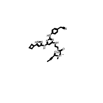 CC#CC(=O)N(C)[C@@H](C)C(=O)NCCNc1cc(Nc2cc(C3CCC3)[nH]n2)nc(Nc2ccc(CC#N)cc2)n1